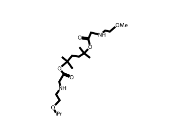 COCCNCC(=O)OC(C)(C)CCC(C)(C)OC(=O)CNCCOC(C)C